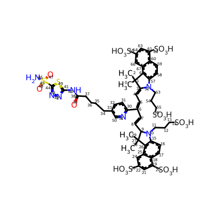 CC1(C)C(=CC=C(/C=C/C2N(CCCS(=O)(=O)O)c3ccc4c(S(=O)(=O)O)cc(S(=O)(=O)O)cc4c3C2(C)C)c2ccc(CCCCC(=O)Nc3nnc(S(N)(=O)=O)s3)cn2)N(CCCS(=O)(=O)O)c2ccc3c(S(=O)(=O)O)cc(S(=O)(=O)O)cc3c21